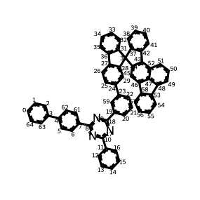 c1ccc(-c2ccc(-c3nc(-c4ccccc4)nc(-c4cccc(-c5ccc6c(c5)C5(c7ccccc7-6)c6ccccc6-c6c5cc5c7c(cccc67)-c6ccccc6-5)c4)n3)cc2)cc1